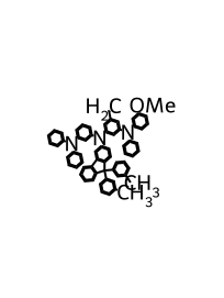 C=Cc1cc(N(c2ccccc2)c2cccc(OC)c2)cc(N(c2cccc(N(c3ccccc3)c3ccccc3)c2)c2ccc3c(c2)-c2ccccc2C3(c2cccc(C)c2)c2cccc(C)c2)c1